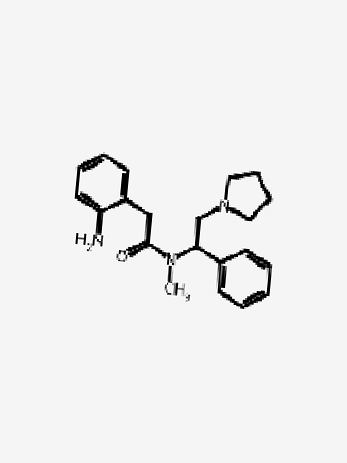 CN(C(=O)Cc1ccccc1N)C(CN1CCCC1)c1ccccc1